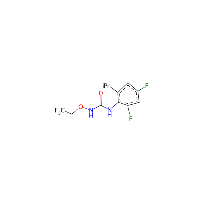 CC(C)c1cc(F)cc(F)c1NC(=O)NOCC(F)(F)F